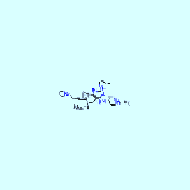 CCCN1CCC(Nc2nc(N3CCC(C)C3)nc(CC)c2/C=C(\CC#CCCN2CCCC2)OC)CC1